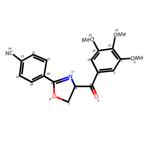 COc1cc(C(=O)C2COC(c3ccc(C#N)cc3)=N2)cc(OC)c1OC